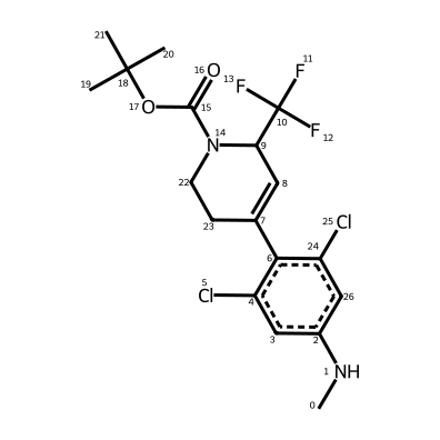 CNc1cc(Cl)c(C2=CC(C(F)(F)F)N(C(=O)OC(C)(C)C)CC2)c(Cl)c1